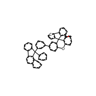 c1ccc(C2(c3cccc(-c4ccc5c(c4)C4(c6ccccc6-c6ccccc64)c4c(ccc6ccccc46)O5)c3)c3ccccc3-c3ccc4ccccc4c32)cc1